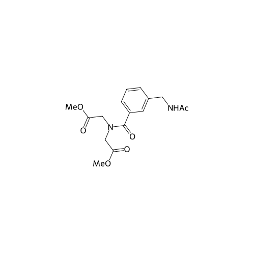 COC(=O)CN(CC(=O)OC)C(=O)c1cccc(CNC(C)=O)c1